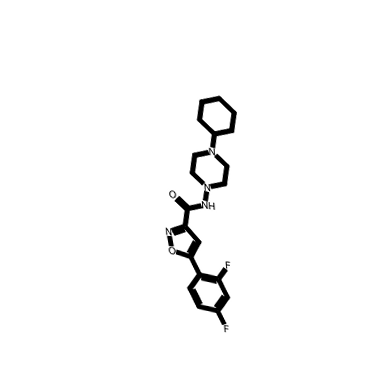 O=C(NN1CCN(C2CCCCC2)CC1)c1cc(-c2ccc(F)cc2F)on1